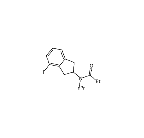 CCCN(C(=O)CC)C1Cc2cccc(I)c2C1